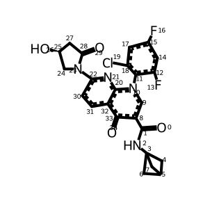 O=C(NC12CC(C1)C2)c1cn(-c2c(F)cc(F)cc2Cl)c2nc(N3C[C@@H](O)CC3=O)ccc2c1=O